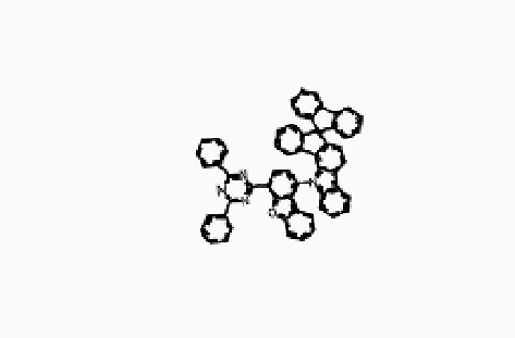 c1ccc(-c2nc(-c3ccccc3)nc(-c3ccc(-n4c5ccccc5c5ccc6c(c54)-c4ccccc4C64c5ccccc5-c5ccccc54)c4c3oc3ccccc34)n2)cc1